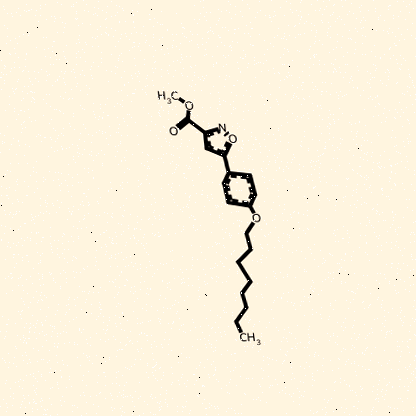 CCCCCCCCOc1ccc(-c2cc(C(=O)OC)no2)cc1